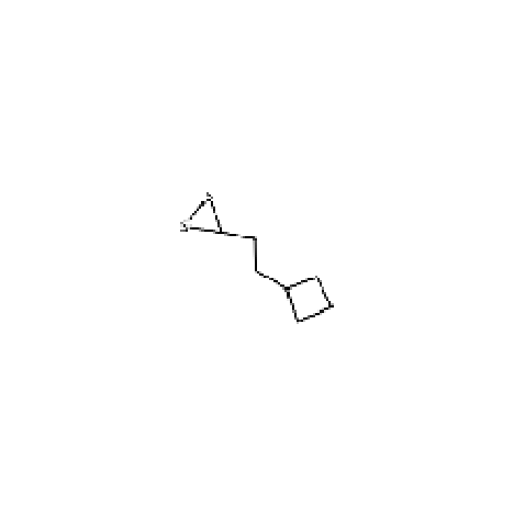 C1CC(CCC2SS2)C1